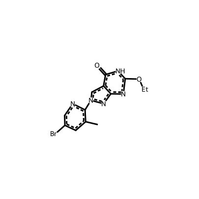 CCOc1nc2nn(-c3ncc(Br)cc3C)cc2c(=O)[nH]1